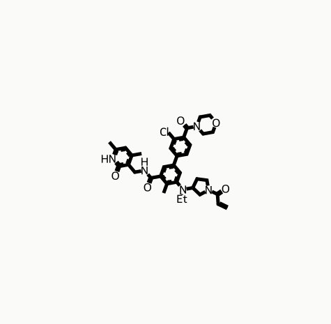 C=CC(=O)N1CCC(N(CC)c2cc(-c3ccc(C(=O)N4CCOCC4)c(Cl)c3)cc(C(=O)NCc3c(C)cc(C)[nH]c3=O)c2C)C1